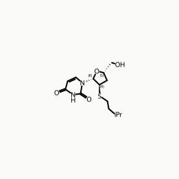 CC(C)CCS[C@@H]1C[C@@H](CO)O[C@H]1n1ccc(=O)[nH]c1=O